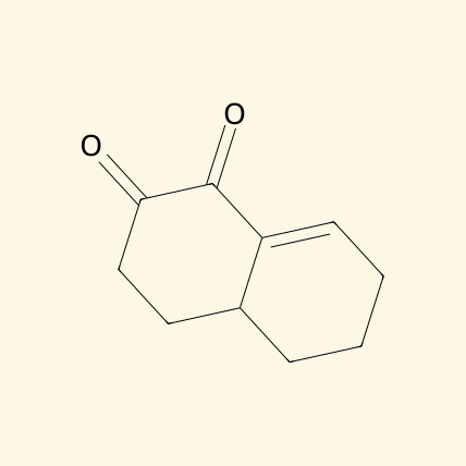 O=C1CCC2CCCC=C2C1=O